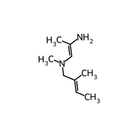 C/C=C(\C)CN(C)/C=C(\C)N